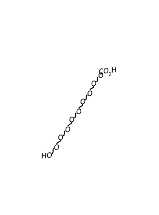 O=C(O)OCCOCCOCCOCCOCCOCCOCCOCCOCCO